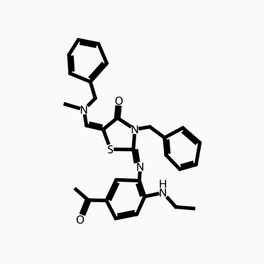 CCNc1ccc(C(C)=O)cc1N=C1SC(=CN(C)Cc2ccccc2)C(=O)N1Cc1ccccc1